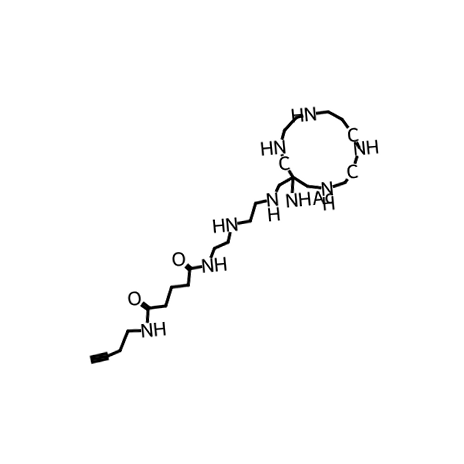 C#CCCNC(=O)CCCC(=O)NCCNCCNCC1(NC(C)=O)CNCCNCCCNCCNC1